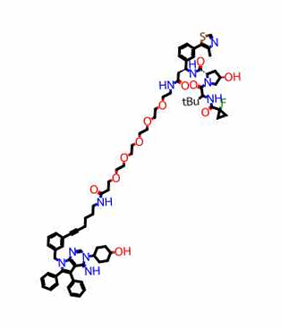 Cc1ncsc1-c1cccc([C@H](CC(=O)NCCOCCOCCOCCOCCOCCC(=O)NCCCCC#Cc2cccc(Cn3c(-c4ccccc4)c(-c4ccccc4)c4c(=N)n(C5CCC(O)CC5)cnc43)c2)NC(=O)[C@@H]2C[C@@H](O)CN2C(=O)C(NC(=O)C2(F)CC2)C(C)(C)C)c1